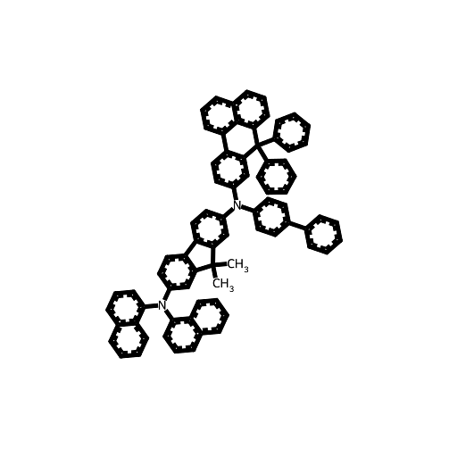 CC1(C)c2cc(N(c3ccc(-c4ccccc4)cc3)c3ccc4c(c3)C(c3ccccc3)(c3ccccc3)c3cccc5cccc-4c35)ccc2-c2ccc(N(c3cccc4ccccc34)c3cccc4ccccc34)cc21